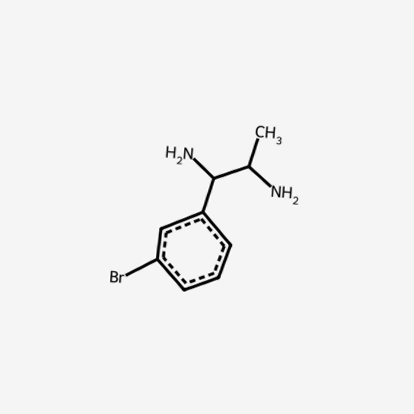 CC(N)C(N)c1cccc(Br)c1